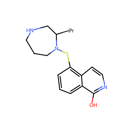 CC(C)C1CNCCCN1Sc1cccc2c(O)nccc12